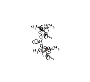 C[C@H]1[C@@H](OCC(CO[C@H]2O[C@@H]3O[C@@]4(C)CC[C@H]5[C@H](C)CC[C@@H]([C@H]2C)[C@@]35OO4)N2CCOCC2)OC2O[C@@]3(C)CC[C@H]4[C@H](C)CC[C@@H]1[C@@]24OO3